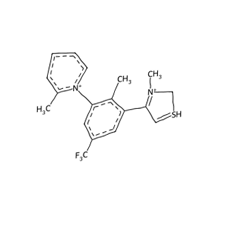 Cc1c(C2=[N+](C)C[SH]=C2)cc(C(F)(F)F)cc1-[n+]1ccccc1C